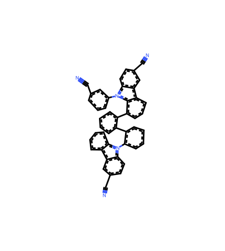 N#Cc1cccc(-n2c3ccc(C#N)cc3c3cccc(-c4ccccc4-c4ccccc4-n4c5ccccc5c5cc(C#N)ccc54)c32)c1